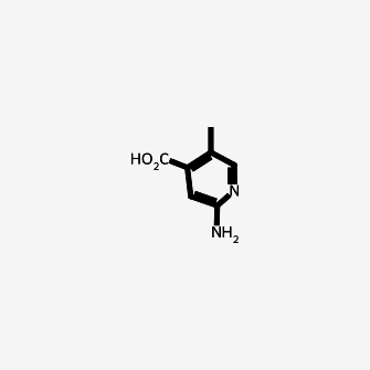 Cc1cnc(N)cc1C(=O)O